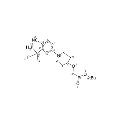 CC(C)(C)OC(=O)COC1CCN(c2ccc(C#N)c(C(F)(F)P)c2)CC1